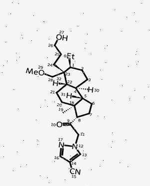 CC[C@H]1CC[C@H]2[C@@H]3CC[C@H](C(=O)Cn4cc(C#N)cn4)[C@@]3(C)CC[C@@H]2[C@]1(CCCO)COC